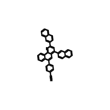 N#Cc1ccc(-c2cc3c(-c4ccc5ccccc5c4)cc(-c4ccc5ccccc5c4)nc3c3ccccc23)cc1